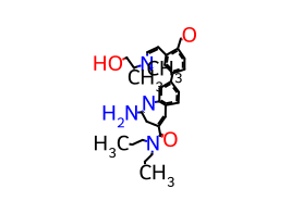 CCCN(CCC)C(=O)C1=Cc2ccc(-c3ccc(C=O)c(/C=C\N(C)C(C)CO)c3)cc2N=C(N)C1